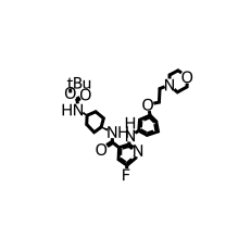 CC(C)(C)OC(=O)N[C@H]1CC[C@@H](NC(=O)c2cc(F)cnc2Nc2cccc(OCCN3CCOCC3)c2)CC1